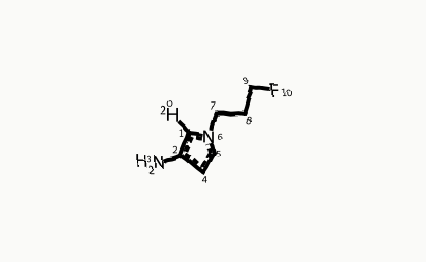 [2H]c1c(N)ccn1CCCF